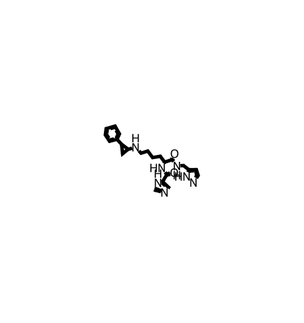 O=C(NC(CCCCNC1CC1c1ccccc1)C(=O)NCc1ccn[nH]1)c1cnc[nH]1